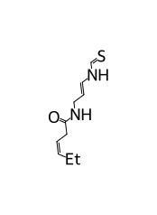 CC/C=C\CC(=O)NC/C=C/NC=S